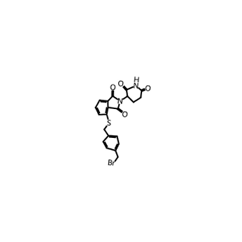 O=C1CCC(N2C(=O)c3cccc(SCc4ccc(CBr)cc4)c3C2=O)C(=O)N1